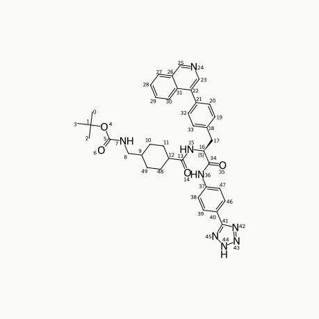 CC(C)(C)OC(=O)NCC1CCC(C(=O)N[C@@H](Cc2ccc(-c3cncc4ccccc34)cc2)C(=O)Nc2ccc(-c3nn[nH]n3)cc2)CC1